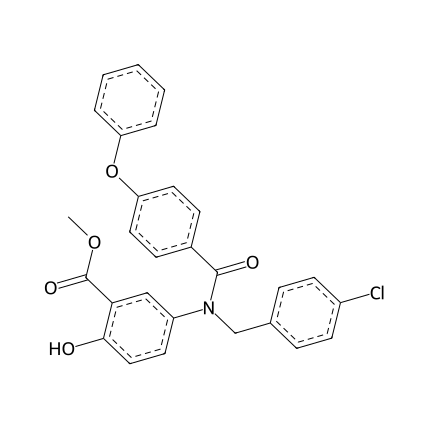 COC(=O)c1cc(N(Cc2ccc(Cl)cc2)C(=O)c2ccc(Oc3ccccc3)cc2)ccc1O